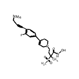 CNCC#Cc1ccc(C2=CCN(CCC(C)(C(=O)NO)S(C)(=O)=O)CC2)cc1F